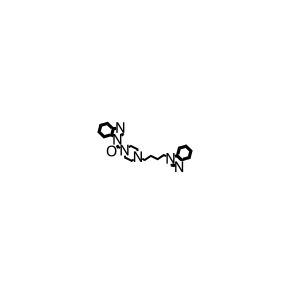 O=C(N1CCN(CCCCn2cnc3ccccc32)CC1)n1cnc2ccccc21